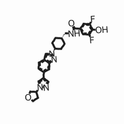 O=C(NC[C@H]1CC[C@H](n2cc3ccc(-c4cnn(C5CCOC5)c4)cc3n2)CC1)c1cc(F)c(O)c(F)c1